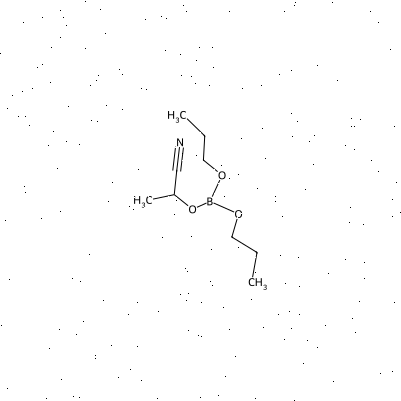 CCCOB(OCCC)OC(C)C#N